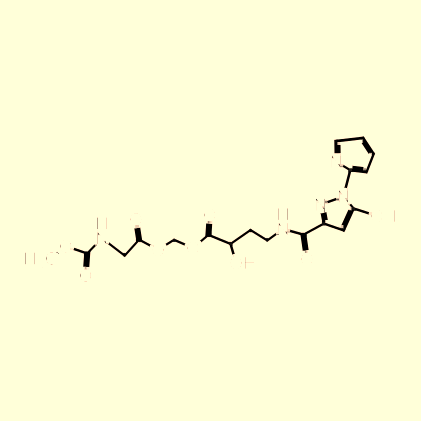 COC(=O)NCC(=O)OCOC(=O)C(O)CCNC(=O)c1cc(O)n(-c2ccccn2)n1